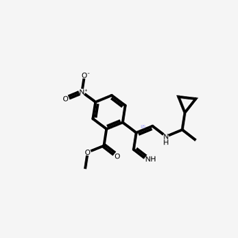 COC(=O)c1cc([N+](=O)[O-])ccc1/C(C=N)=C/NC(C)C1CC1